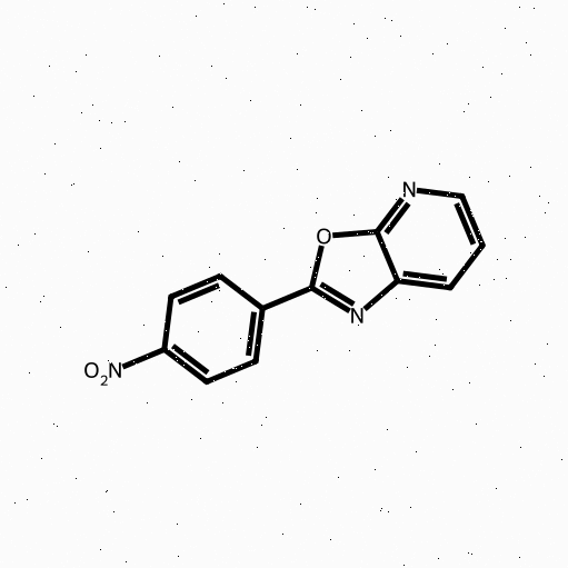 O=[N+]([O-])c1ccc(-c2nc3cccnc3o2)cc1